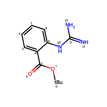 CC(C)(C)OC(=O)c1ccccc1NC(=N)N